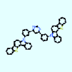 c1cc(-c2cc(-c3cccc(-n4c5ccccc5c5c6sc7ccccc7c6ccc54)c3)ncn2)cc(-n2c3ccccc3c3c4sc5ccccc5c4ccc32)c1